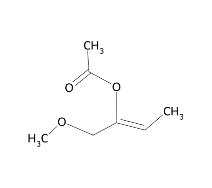 C/C=C(/COC)OC(C)=O